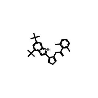 C=C(CC1=CCC=C1c1cc2c(C(C)(C)C)cc(C(C)(C)C)cc2[nH]1)c1c(C)cccc1C